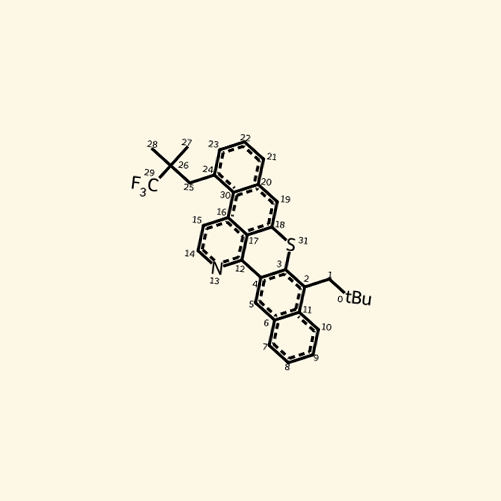 CC(C)(C)Cc1c2c(cc3ccccc13)-c1nccc3c1c(cc1cccc(CC(C)(C)C(F)(F)F)c13)S2